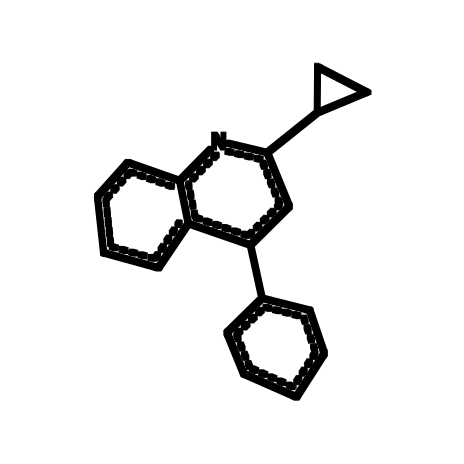 c1ccc(-c2cc(C3CC3)nc3ccccc23)cc1